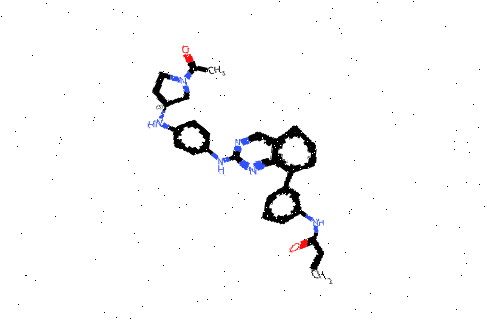 C=CC(=O)Nc1cccc(-c2cccc3cnc(Nc4ccc(N[C@H]5CCN(C(C)=O)C5)cc4)nc23)c1